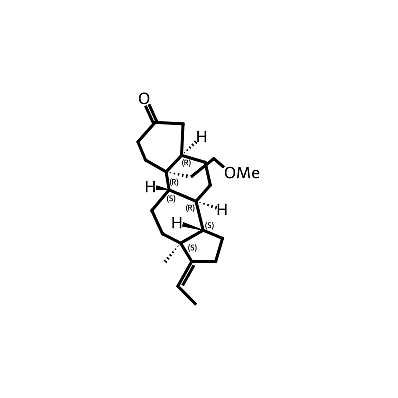 CC=C1CC[C@H]2[C@@H]3CC[C@@H]4CC(=O)CC[C@]4(CCOC)[C@H]3CC[C@]12C